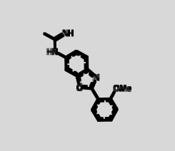 COc1ccccc1-c1nc2ccc(NC(C)=N)cc2o1